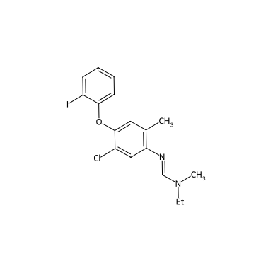 CCN(C)C=Nc1cc(Cl)c(Oc2ccccc2I)cc1C